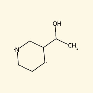 CC(O)C1[CH]CC[N]C1